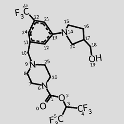 O=C(OC(C(F)(F)F)C(F)(F)F)N1CCN(Cc2cc(N3CCC(CO)C3)cc(C(F)(F)F)c2)CC1